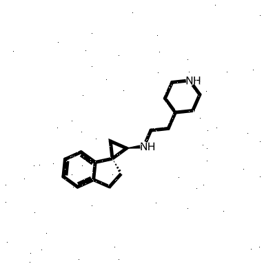 c1ccc2c(c1)CC[C@@]21C[C@H]1NCCC1CCNCC1